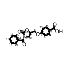 O=C(O)c1ccc(OCC2CN(C(=O)c3ccccc3)C(=O)O2)cc1